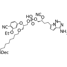 CCCCCCCCCCCCCCCCCCOC[C@H](COP(=O)(O)OC[C@H](CCc1ccc2c(N)ncnn12)OC#N)Oc1ccc(C#N)c(OCC)c1